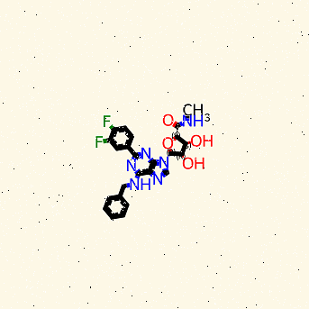 CNC(=O)[C@H]1O[C@@H](n2cnc3c(NCc4ccccc4)nc(-c4ccc(F)c(F)c4)nc32)[C@H](O)[C@@H]1O